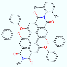 CCCN1C(=O)c2cc(Oc3ccccc3)c3c4c(Oc5ccccc5)cc5c6c(cc(Oc7ccccc7)c(c7c(Oc8ccccc8)cc(c2c37)C1=O)c64)C(=O)N(c1c(C(C)C)cccc1C(C)C)C5=O